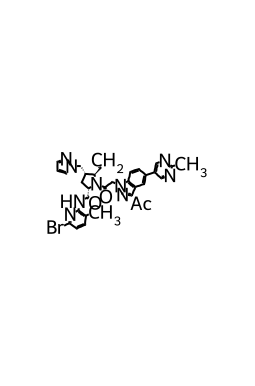 C=C[C@@H]1[C@@H](Cn2cccn2)C[C@@H](C(=O)Nc2nc(Br)ccc2C)N1C(=O)Cn1nc(C(C)=O)c2cc(-c3cnc(C)nc3)ccc21